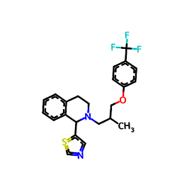 CC(COc1ccc(C(F)(F)F)cc1)CN1CCc2ccccc2C1c1cncs1